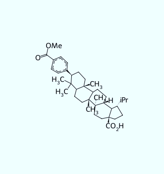 COC(=O)c1ccc([C@H]2CC[C@@]3(C)C(CC[C@]4(C)C3CC[C@@H]3C5[C@H](C(C)C)CC[C@]5(C(=O)O)CC[C@]34C)C2(C)C)cc1